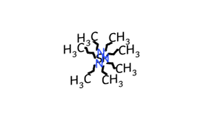 CCCCC[Si](N(CCCC)CCCC)(N(CCCC)CCCC)N(CCCC)CCCC